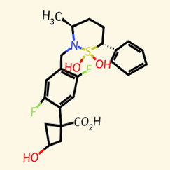 C[C@H]1CC[C@H](c2ccccc2)S(O)(O)N1Cc1cc(F)c(C2(C(=O)O)CC(O)C2)cc1F